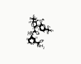 COc1nc(C(F)(F)F)ccc1[C@H]1[C@@H](C(=O)Nc2ccnc(C(N)=O)c2)O[C@@](C)(C(F)(F)F)[C@H]1C